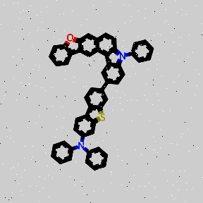 c1ccc(N(c2ccccc2)c2ccc3c(c2)sc2cc(-c4ccc5c(c4)c4c6cc7c(cc6ccc4n5-c4ccccc4)oc4ccccc47)ccc23)cc1